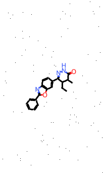 CCC1C(c2ccc3nc(-c4ccccc4)oc3c2)=NNC(=O)C1C